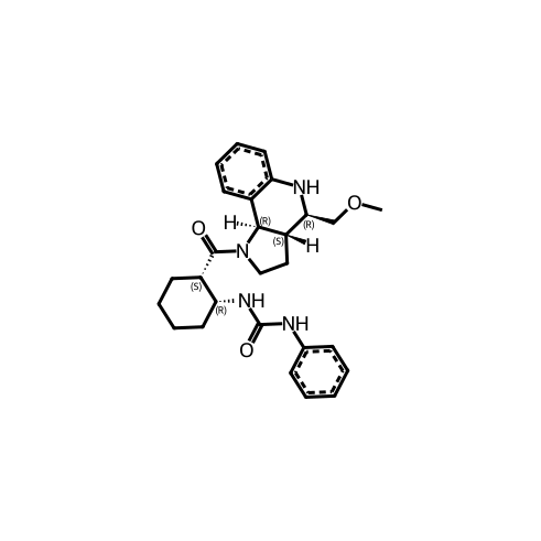 COC[C@@H]1Nc2ccccc2[C@H]2[C@H]1CCN2C(=O)[C@H]1CCCC[C@H]1NC(=O)Nc1ccccc1